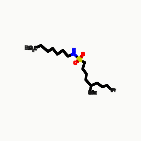 CCOC(=O)CCCCCCNS(=O)(=O)CCCCC(CCCC(C)C)OC(C)=O